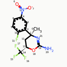 C[C@@]1(c2cc([N+](=O)[O-])ccc2F)C[C@@H](C(F)(F)F)OC(N)=N1